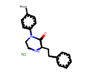 COc1ccc(N2CCNC(CCc3ccccc3)C2=O)cc1.Cl